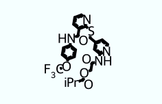 CC(C)C(=O)OCC(=O)Nc1cc(CSc2ncccc2C(=O)Nc2ccc(OC(F)(F)F)cc2)ccn1